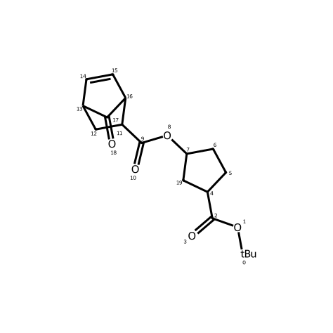 CC(C)(C)OC(=O)C1CCC(OC(=O)C2CC3C=CC2C3=O)C1